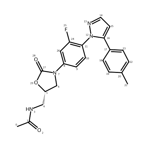 CC(=O)NC[C@H]1CN(c2ccc(-n3nccc3-c3ccc(C)cc3)c(F)c2)C(=O)O1